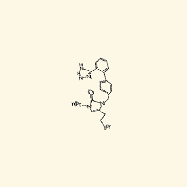 CCCn1cc(CCC(C)C)n(Cc2ccc(-c3ccccc3-c3nnn[nH]3)cc2)c1=O